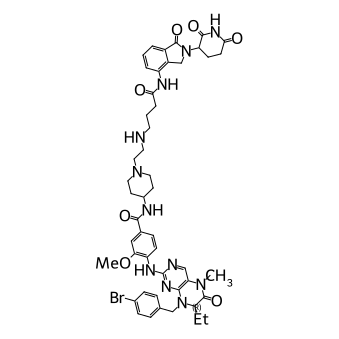 CC[C@@H]1C(=O)N(C)c2cnc(Nc3ccc(C(=O)NC4CCN(CCNCCCC(=O)Nc5cccc6c5CN(C5CCC(=O)NC5=O)C6=O)CC4)cc3OC)nc2N1Cc1ccc(Br)cc1